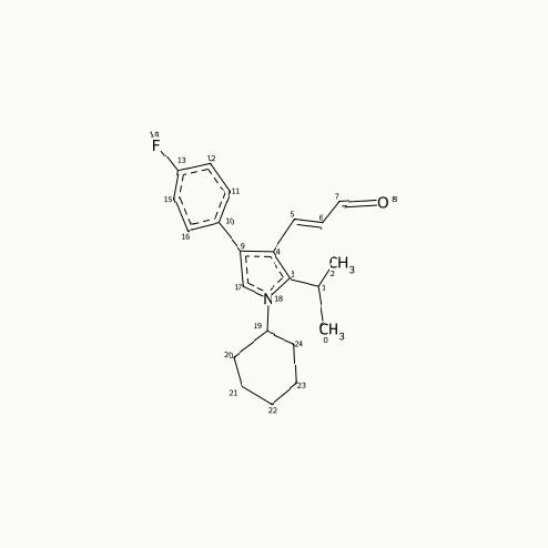 CC(C)c1c(C=CC=O)c(-c2ccc(F)cc2)cn1C1CCCCC1